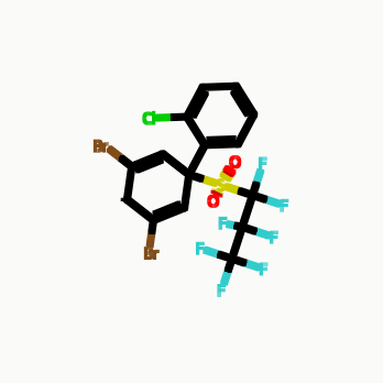 O=S(=O)(C1(c2ccccc2Cl)C=C(Br)[CH]C(Br)=C1)C(F)(F)C(F)(F)C(F)(F)F